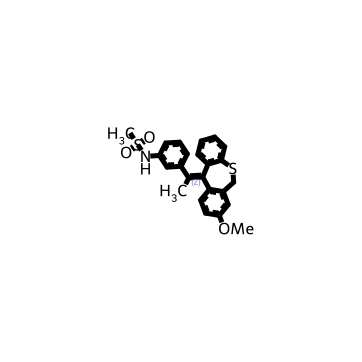 COc1ccc2c(c1)CSc1ccccc1/C2=C(/C)c1cccc(NS(C)(=O)=O)c1